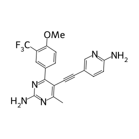 COc1ccc(-c2nc(N)nc(C)c2C#Cc2ccc(N)nc2)cc1C(F)(F)F